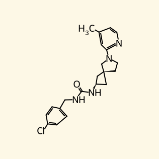 Cc1ccnc(N2CC[C@]3(C2)C[C@H](NC(=O)NCc2ccc(Cl)cc2)C3)c1